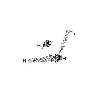 CCCCCCCCCCCCCCCC(=O)[N+](C)(C(=O)CCCCCCCCCCCCCCC)C(C)O.COS(=O)(=O)[O-]